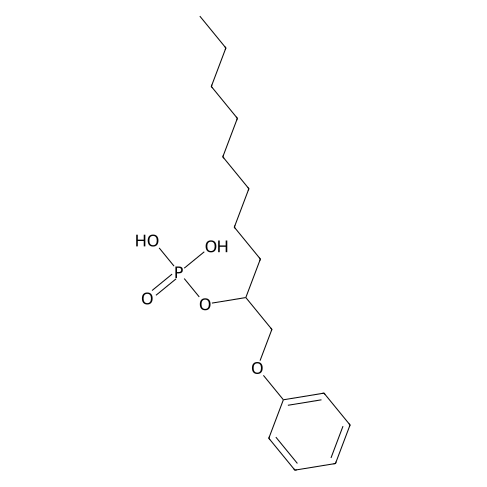 CCCCCCCCC(COc1ccccc1)OP(=O)(O)O